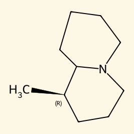 C[C@@H]1CCCN2CCCCC12